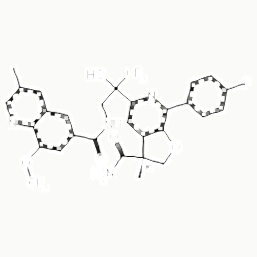 Cc1cnc2c(OC(F)(F)F)cc(C(=O)NCC(O)(c3cc4c(c(-c5ccc(F)cc5)n3)OC[C@]4(C)C(N)=O)C(F)(F)F)cc2c1